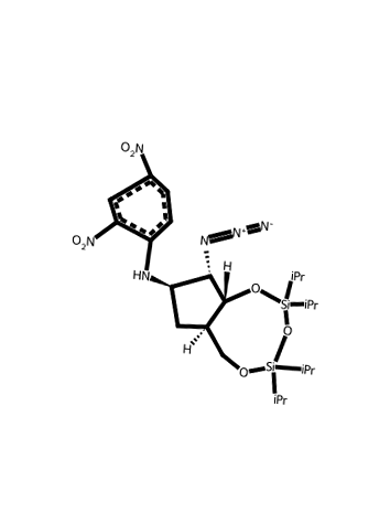 CC(C)[Si]1(C(C)C)OC[C@H]2C[C@@H](Nc3ccc([N+](=O)[O-])cc3[N+](=O)[O-])[C@H](N=[N+]=[N-])[C@@H]2O[Si](C(C)C)(C(C)C)O1